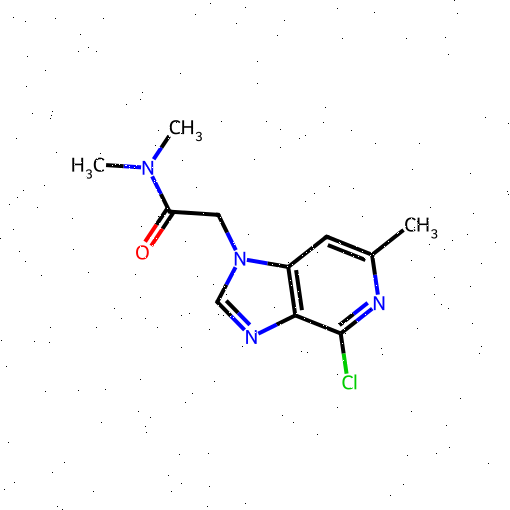 Cc1cc2c(ncn2CC(=O)N(C)C)c(Cl)n1